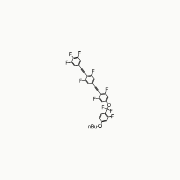 CCCCOc1ccc(C(F)(F)Oc2cc(F)c(C#Cc3cc(F)c(C#Cc4cc(F)c(F)c(F)c4)c(F)c3)c(F)c2)c(F)c1